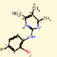 Cc1nc(Nc2ccc(C(C)C)cc2Br)nc(C(=O)O)c1C